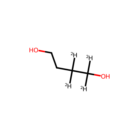 [2H]C([2H])(O)C([2H])([2H])CCO